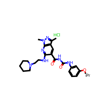 Cc1nn(C)c2nc(NCCN3CCCCC3)c(C(=O)NC(=O)Nc3cccc(OC(C)C)c3)cc12.Cl